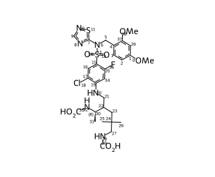 COc1ccc(CN(c2ncns2)S(=O)(=O)c2cc(Cl)c(NCC(CC(C)(C)CNC(=O)O)[C@@H](C)NC(=O)O)cc2F)c(OC)c1